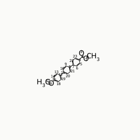 COC(=O)c1ccc(-c2ccc(-c3ccc(OC)cc3)cc2)cc1